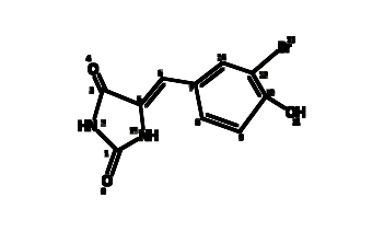 O=C1NC(=O)/C(=C/c2ccc(O)c(Br)c2)N1